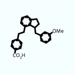 COc1cccc(CC2CCc3cccc(CCc4ccc(C(=O)O)cc4)c32)c1